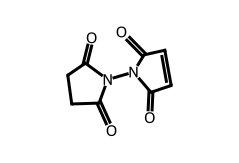 O=C1C=CC(=O)N1N1C(=O)CCC1=O